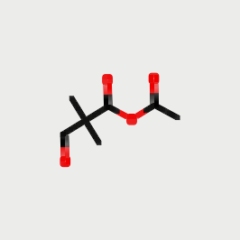 CC(=O)OC(=O)C(C)(C)C=O